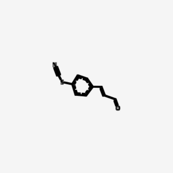 N#CSc1ccc(C=CC=O)cc1